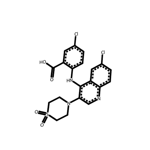 O=C(O)c1cc(Cl)ccc1Nc1c(N2CCS(=O)(=O)CC2)cnc2ccc(Cl)cc12